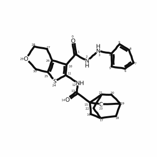 O=C(NNc1ccccc1)c1c(NC(=O)C23CC4CC(CC2C4)C3)sc2c1CCOC2